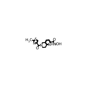 Cc1nc(C(=O)N2CCc3nc(C(=O)NO)ccc3C2)cs1